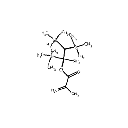 C=C(C)C(=O)OC([SiH3])(C([Si](C)(C)C)[Si](C)(C)C)[Si](C)(C)C